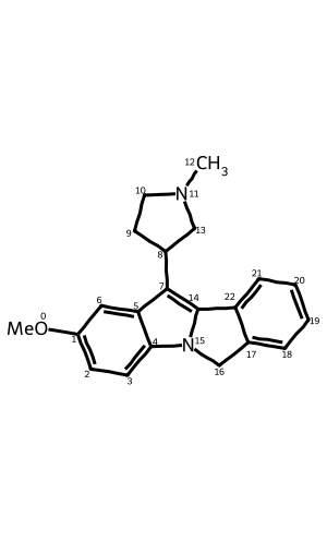 COc1ccc2c(c1)c(C1CCN(C)C1)c1n2Cc2ccccc2-1